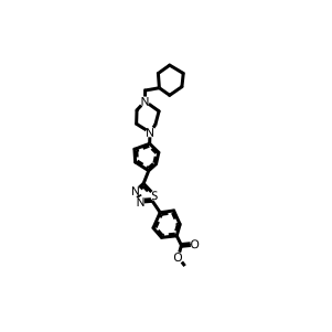 COC(=O)c1ccc(-c2nnc(-c3ccc(N4CCN(CC5CCCCC5)CC4)cc3)s2)cc1